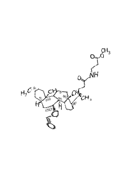 COC(=O)CCNC(=O)CC[C@@H](C)[C@H]1CCC2[C@H]3C(CC[C@@]21C)[C@@]1(C)CC[C@@H](C)C[C@H]1C[C@@H]3OC=O